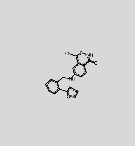 O=c1[nH]nc(Cl)c2cc(NCc3ccccc3-c3ccco3)ccc12